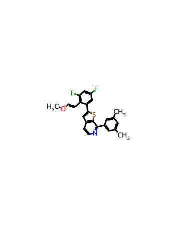 COC=Cc1c(F)cc(F)cc1-c1cc2ccnc(-c3cc(C)cc(C)c3)c2s1